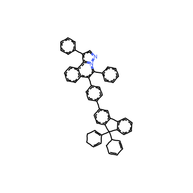 C1=CCC(C2(C3=CCCC=C3)c3ccccc3-c3cc(-c4ccc(-c5c(-c6ccccc6)n6ncc(-c7ccccc7)c6c6ccccc56)cc4)ccc32)C=C1